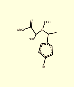 CCc1ccc(C(C)N(C=O)C(C=O)C(=O)OC)cc1